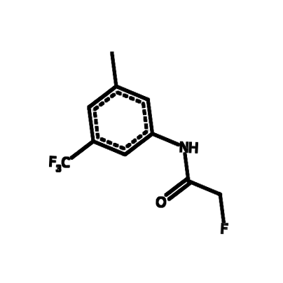 Cc1cc(NC(=O)CF)cc(C(F)(F)F)c1